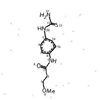 COCCC(=O)Nc1ccc(NC(N)=S)cc1